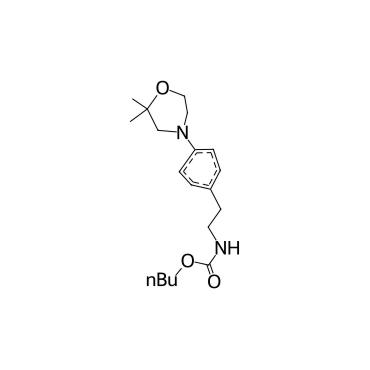 CCCCOC(=O)NCCc1ccc(N2CCOC(C)(C)C2)cc1